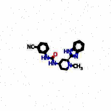 CN1CC[C@@H](NC(=O)Nc2cccc(C#N)c2)C[C@@H]1c1nc2ccccc2[nH]1